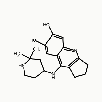 CC1(C)CC(Nc2c3c(nc4cc(O)c(O)cc24)CCC3)CCN1